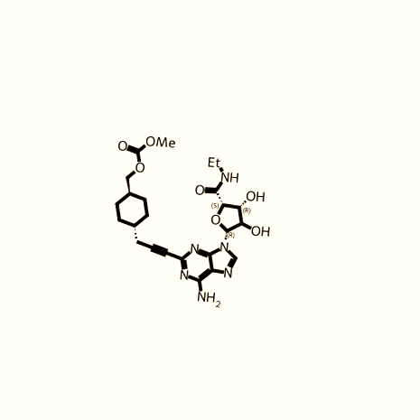 CCNC(=O)[C@H]1O[C@@H](n2cnc3c(N)nc(C#CC[C@H]4CC[C@H](COC(=O)OC)CC4)nc32)C(O)[C@H]1O